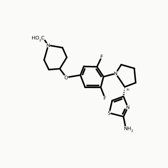 Nc1nc([C@H]2CCCN2c2c(F)cc(OC3CCN(C(=O)O)CC3)cc2F)cs1